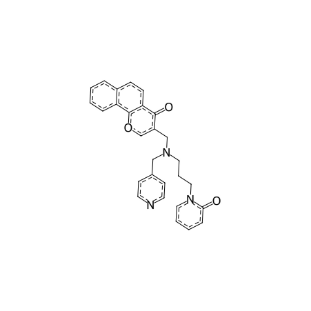 O=c1c(CN(CCCn2ccccc2=O)Cc2ccncc2)coc2c1ccc1ccccc12